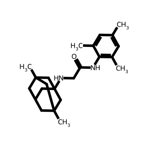 Cc1cc(C)c(NC(=O)CNC23CC4CC(C)(CC(C)(C4)C2)C3)c(C)c1